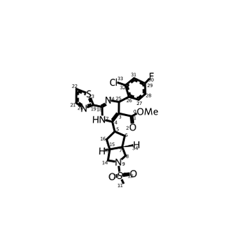 COC(=O)C1=C(C2C[C@@H]3CN(S(C)(=O)=O)C[C@@H]3C2)NC(c2nccs2)=NC1c1ccc(F)cc1Cl